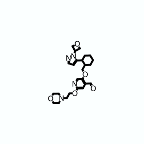 O=Cc1cc(OCCN2CCOCC2)ncc1OCC1CCCCC1c1ccnn1C1COC1